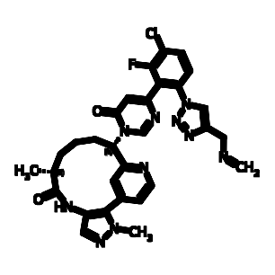 C=NCc1cn(-c2ccc(Cl)c(F)c2-c2cc(=O)n([C@H]3CCC[C@@H](C)C(=O)Nc4cnn(C)c4-c4ccnc3c4)cn2)nn1